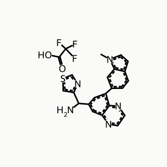 Cn1ccc2ccc(-c3cc(C(N)c4cscn4)cc4nccnc34)cc21.O=C(O)C(F)(F)F